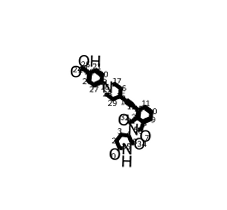 O=C1CCC(N2C(=O)c3cccc(C#CC4CCN(c5ccc(C(=O)O)cc5)CC4)c3C2=O)C(=O)N1